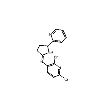 Clc1ccc(N=C2CCC(c3ccccn3)N2)c(Br)n1